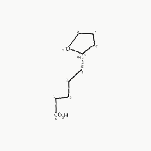 O=C(O)CCCC[C@H]1CCCO1